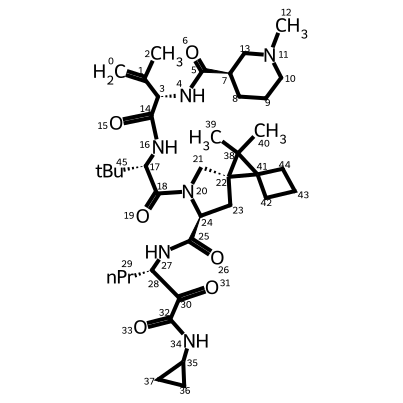 C=C(C)[C@H](NC(=O)[C@@H]1CCCN(C)C1)C(=O)N[C@H](C(=O)N1C[C@]2(C[C@H]1C(=O)N[C@@H](CCC)C(=O)C(=O)NC1CC1)C(C)(C)C21CCC1)C(C)(C)C